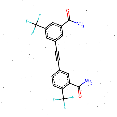 NC(=O)c1cc(C#Cc2ccc(C(F)(F)F)c(C(N)=O)c2)cc(C(F)(F)F)c1